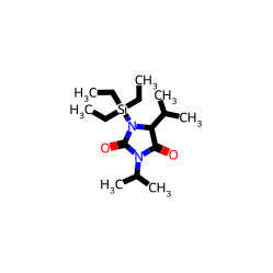 CC[Si](CC)(CC)N1C(=O)N(C(C)C)C(=O)C1C(C)C